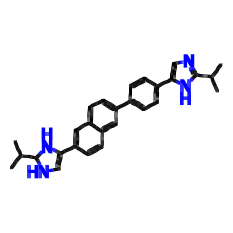 CC(C)c1ncc(-c2ccc(-c3ccc4cc(C5=CNC(C(C)C)N5)ccc4c3)cc2)[nH]1